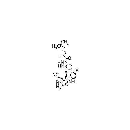 Cc1ncc(C#N)cc1S(=O)(=O)Nc1ccc(F)c(-c2ccc3c(c2F)NNC3C(=O)NCCCN(C)C)c1F